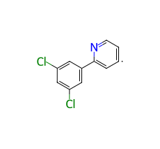 Clc1cc(Cl)cc(-c2c[c]ccn2)c1